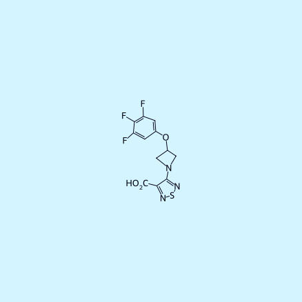 O=C(O)c1nsnc1N1CC(Oc2cc(F)c(F)c(F)c2)C1